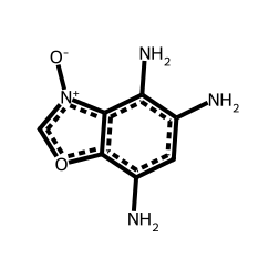 Nc1cc(N)c2oc[n+]([O-])c2c1N